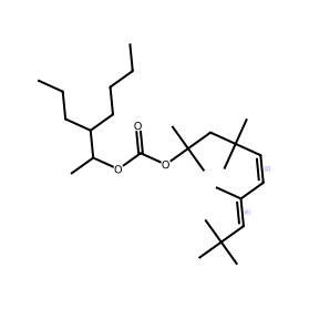 CCCCC(CCC)C(C)OC(=O)OC(C)(C)CC(C)(C)/C=C\C(C)=C\C(C)(C)C